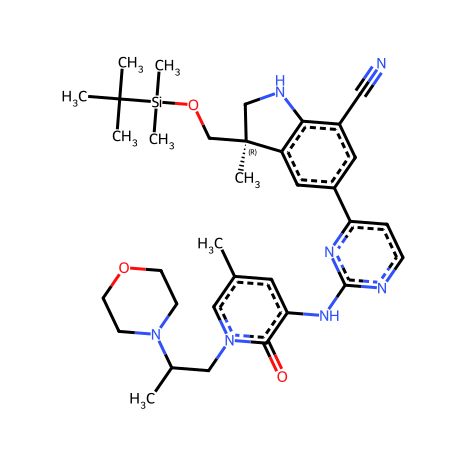 Cc1cc(Nc2nccc(-c3cc(C#N)c4c(c3)[C@@](C)(CO[Si](C)(C)C(C)(C)C)CN4)n2)c(=O)n(CC(C)N2CCOCC2)c1